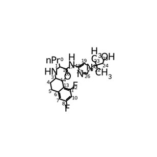 CCCC(NC1CCc2cc(F)cc(F)c2C1)C(=O)Nc1cn(C(C)(C)CO)cn1